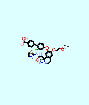 COCCOc1cc2c(cc1Oc1ccc(-c3ccc(C(=O)O)cc3)c(F)c1)C(C)(CC(=O)Nc1nccs1)NCC2